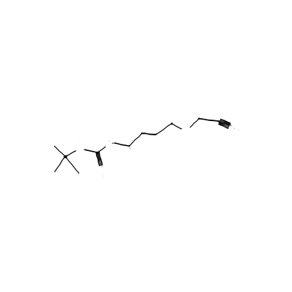 CC(C)(C)OC(=O)NCCCCOCC#N